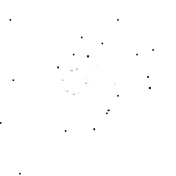 CC(=O)c1ccccc1.CCCCCCl